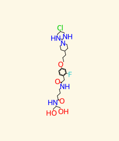 O=C(Cc1ccc(OCCCC2CCN(C3NCC(Cl)CN3)CC2)cc1F)NCCCC(=O)NC(CO)CO